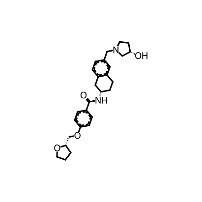 O=C(N[C@H]1CCc2cc(CN3CC[C@H](O)C3)ccc2C1)c1ccc(OC[C@@H]2CCCO2)cc1